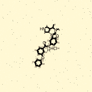 CC(C1CCNC1)N(C)c1nc2cc(NC(=O)c3cccc(Oc4ccccc4)c3)ccc2o1.Cl